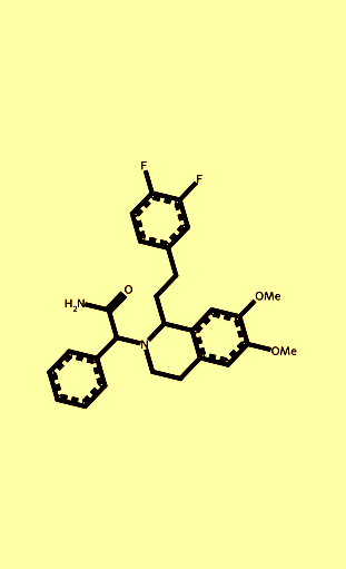 COc1cc2c(cc1OC)C(CCc1ccc(F)c(F)c1)N(C(C(N)=O)c1ccccc1)CC2